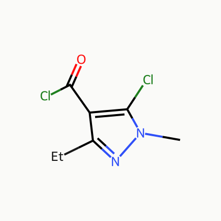 CCc1nn(C)c(Cl)c1C(=O)Cl